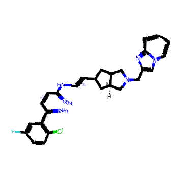 N=C(/C=C\C(=N)c1cc(F)ccc1Cl)N/C=C/C1CC2CN(Cc3cn4ccccc4n3)C[C@H]2C1